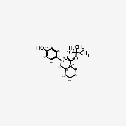 CC(C)(C)OC(=O)N1CCCCC1CCc1ccc(O)cc1